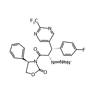 [N-]=[N+]=N[C@H](C(=O)N1C(=O)OC[C@H]1c1ccccc1)[C@@H](c1ccc(F)cc1)c1cnc(C(F)(F)F)nc1